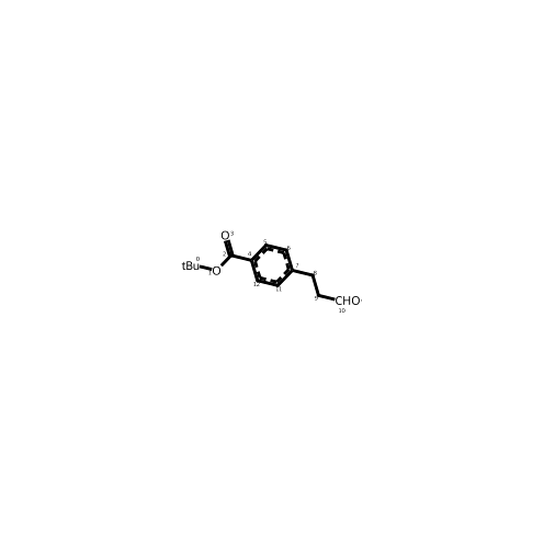 CC(C)(C)OC(=O)c1ccc(CC[C]=O)cc1